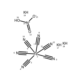 N#[C][Fe]([C]#N)([C]#N)([C]#N)([C]#N)[C]#N.O=[N+]([O-])O.[KH].[KH].[KH]